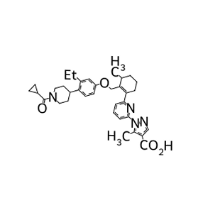 CCc1cc(OCC2=C(c3cccc(-n4ncc(C(=O)O)c4C)n3)CCCC2C)ccc1C1CCN(C(=O)C2CC2)CC1